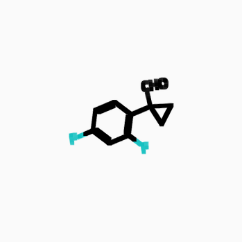 O=CC1(c2ccc(F)cc2F)CC1